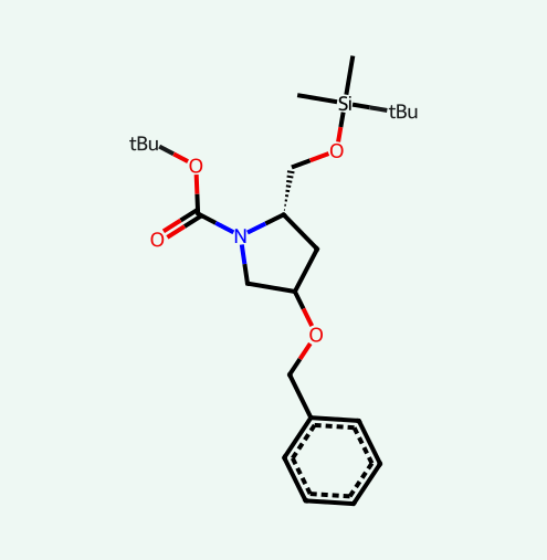 CC(C)(C)OC(=O)N1CC(OCc2ccccc2)C[C@H]1CO[Si](C)(C)C(C)(C)C